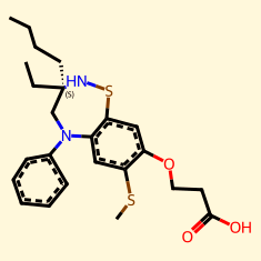 CCCC[C@@]1(CC)CN(c2ccccc2)c2cc(SC)c(OCCC(=O)O)cc2SN1